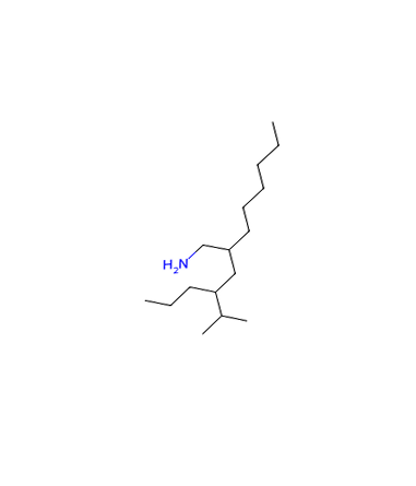 CCCCCCC(CN)CC(CCC)C(C)C